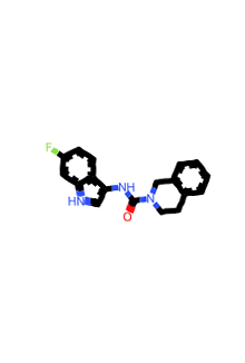 O=C(Nc1c[nH]c2cc(F)ccc12)N1CCc2ccccc2C1